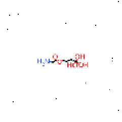 NCC(=O)OCCCC(O)(O)O